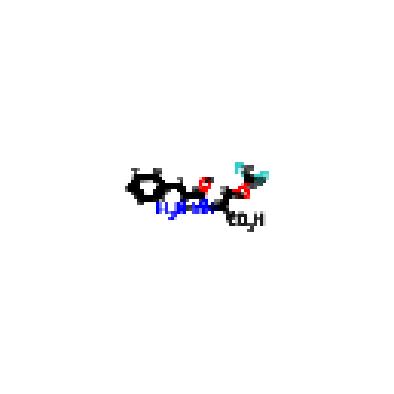 N[C@@H](Cc1ccccc1)C(=O)N[C@@H](COC(F)F)C(=O)O